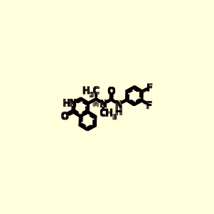 C[C@H](c1c[nH]c(=O)c2ccccc12)N(C)C(=O)Nc1ccc(F)c(F)c1